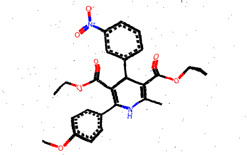 CCOC(=O)C1=C(C)NC(c2ccc(OC)cc2)=C(C(=O)OCC)C1c1cccc([N+](=O)[O-])c1